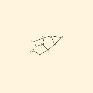 CN1C2COCC1C1CC12